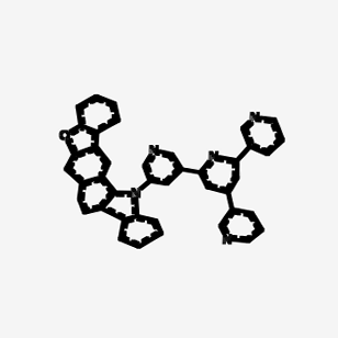 c1cncc(-c2cc(-c3cccnc3)nc(-c3cncc(-n4c5ccccc5c5ccc6cc7oc8ccccc8c7cc6c54)c3)c2)c1